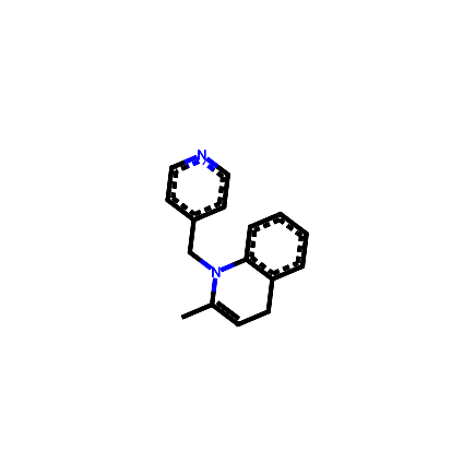 CC1=CCc2ccccc2N1Cc1ccncc1